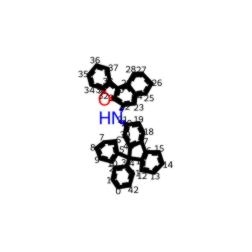 c1ccc(C2(c3ccccc3)c3ccccc3-c3ccc(Nc4cc5ccccc5c5c4oc4ccccc45)cc32)cc1